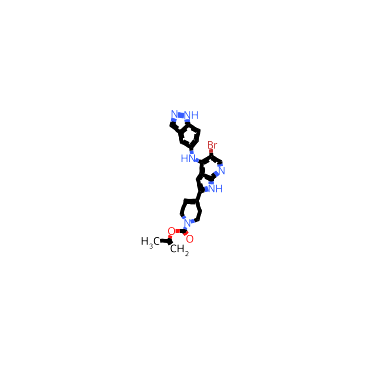 C=C(C)OC(=O)N1CC=C(c2cc3c(Nc4ccc5[nH]ncc5c4)c(Br)cnc3[nH]2)CC1